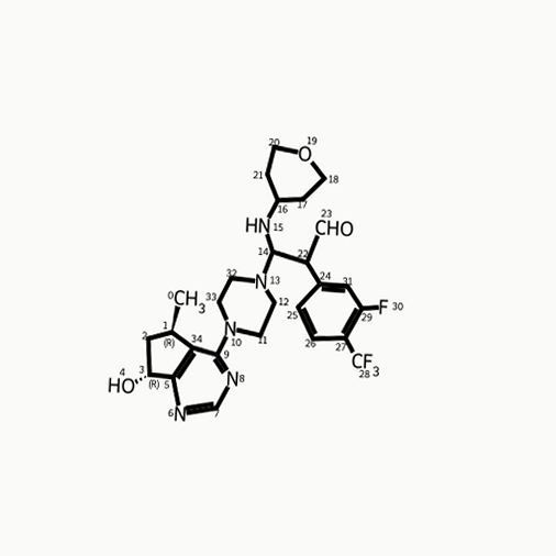 C[C@@H]1C[C@@H](O)c2ncnc(N3CCN(C(NC4CCOCC4)C(C=O)c4ccc(C(F)(F)F)c(F)c4)CC3)c21